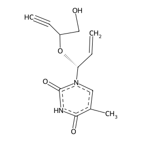 C#CC(CO)O[C@H](C=C)n1cc(C)c(=O)[nH]c1=O